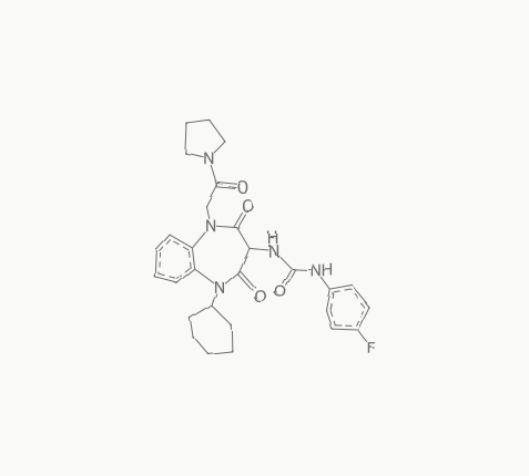 O=C(Nc1ccc(F)cc1)NC1C(=O)N(CC(=O)N2CCCC2)c2ccccc2N(C2CCCCC2)C1=O